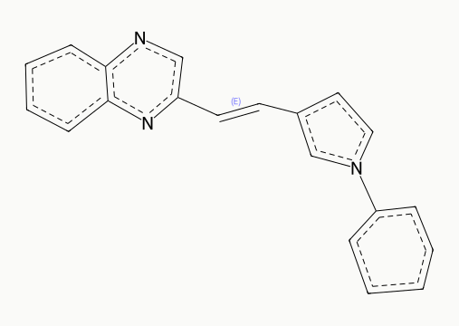 C(=C\c1cnc2ccccc2n1)/c1ccn(-c2ccccc2)c1